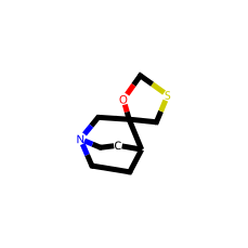 C1OC2(CS1)CN1CCC2CC1